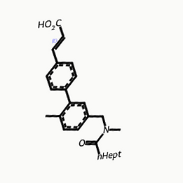 CCCCCCCC(=O)N(C)Cc1ccc(C)c(-c2ccc(/C=C/C(=O)O)cc2)c1